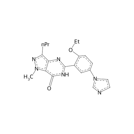 CCCc1nn(C)c2c(=O)[nH]c(-c3cc(-n4ccnc4)ccc3OCC)nc12